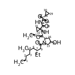 C=CCCC(C)C[C@@H](CC)CC(=O)N1C[C@H](O)C[C@H]1C(=O)N[C@]1(C(=O)NS(=O)(=O)C2CC2)C[C@H]1C=C